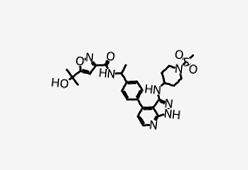 CC(NC(=O)c1cc(C(C)(C)O)on1)c1ccc(-c2ccnc3[nH]nc(NC4CCN(S(C)(=O)=O)CC4)c23)cc1